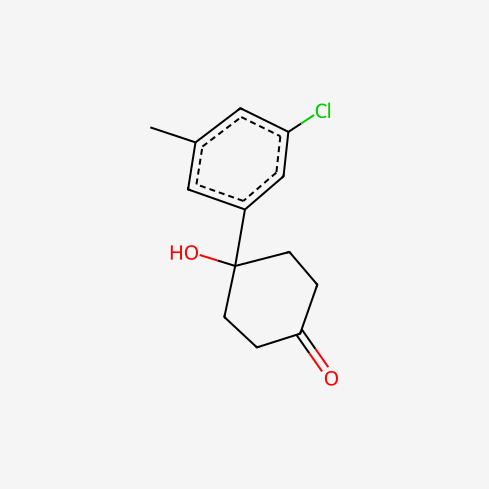 Cc1cc(Cl)cc(C2(O)CCC(=O)CC2)c1